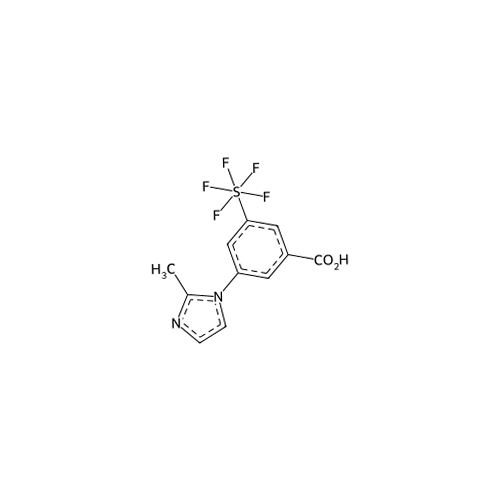 Cc1nccn1-c1cc(C(=O)O)cc(S(F)(F)(F)(F)F)c1